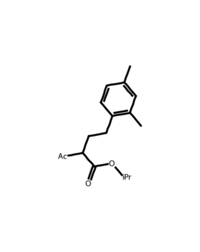 CC(=O)C(CCc1ccc(C)cc1C)C(=O)OC(C)C